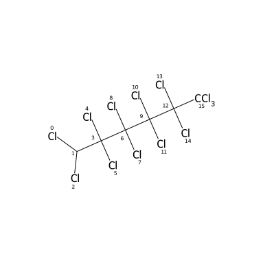 ClC(Cl)C(Cl)(Cl)C(Cl)(Cl)C(Cl)(Cl)C(Cl)(Cl)C(Cl)(Cl)Cl